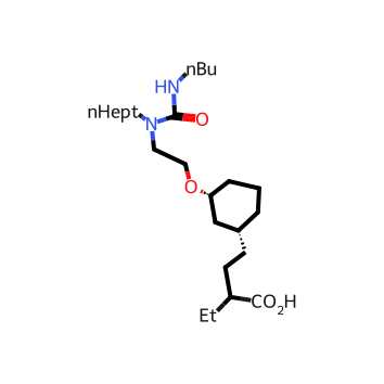 CCCCCCCN(CCO[C@@H]1CCC[C@H](CCC(CC)C(=O)O)C1)C(=O)NCCCC